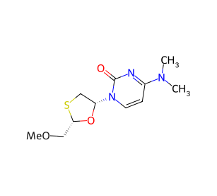 COC[C@H]1O[C@@H](n2ccc(N(C)C)nc2=O)CS1